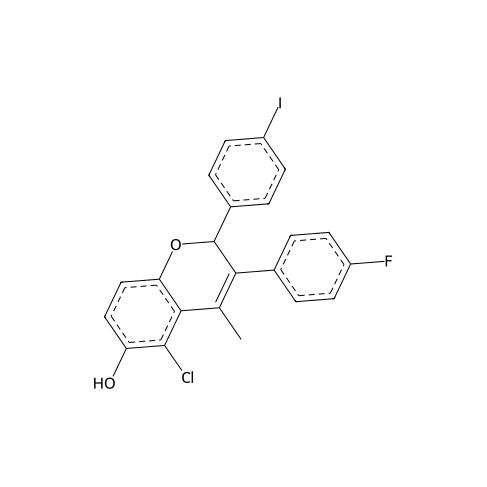 CC1=C(c2ccc(F)cc2)C(c2ccc(I)cc2)Oc2ccc(O)c(Cl)c21